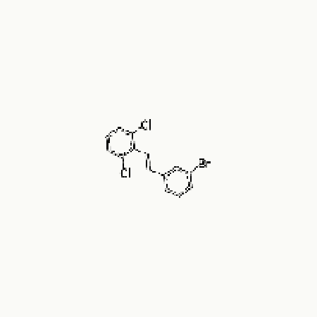 Clc1cccc(Cl)c1/C=C/c1cccc(Br)c1